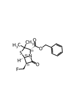 CC1(C)S[C@@H]2[C@H](CF)C(=O)N2[C@H]1C(=O)OCc1ccccc1